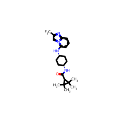 CC1(C)C(C(=O)N[C@H]2CC[C@@H](Nc3cccc4nc(C(F)(F)F)cn34)CC2)C1(C)C